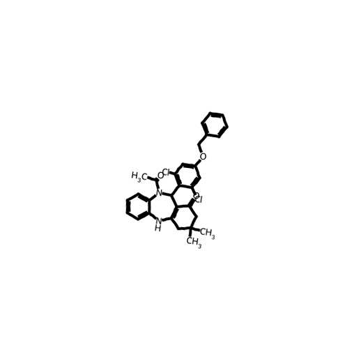 CC(=O)N1c2ccccc2NC2=C(C(=O)CC(C)(C)C2)C1c1c(Cl)cc(OCc2ccccc2)cc1Cl